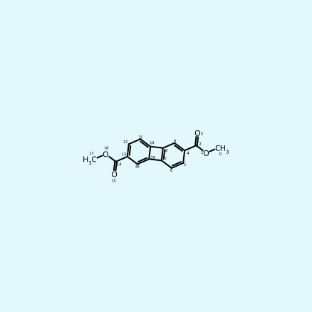 COC(=O)c1ccc2c(c1)-c1ccc(C(=O)OC)cc1-2